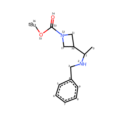 CC(NCc1ccccc1)C1CN(C(=O)OC(C)(C)C)C1